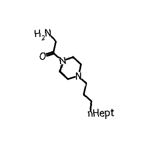 CCCCCCCCCCN1CCN(C(=O)CN)CC1